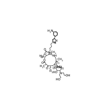 CCO[C@@H](O[C@@H]1[C@@H](C)C(=O)[C@@H](C)C(=O)O[C@H](CC)[C@@]2(C)OC(=O)N(CCCCn3cc(-c4cccc(N)c4)nn3)[C@@H]2[C@@H](C)NC[C@H](C)C[C@@]1(C)OC)C(O)C(CC)N(CCO)CCO